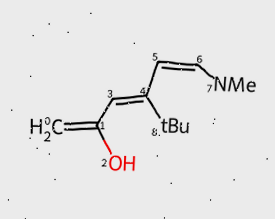 C=C(O)/C=C(/C=C\NC)C(C)(C)C